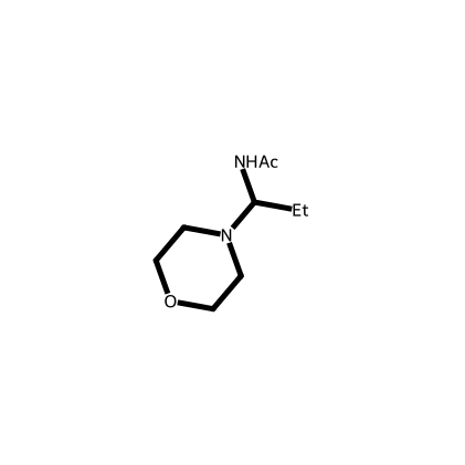 CCC(NC(C)=O)N1CCOCC1